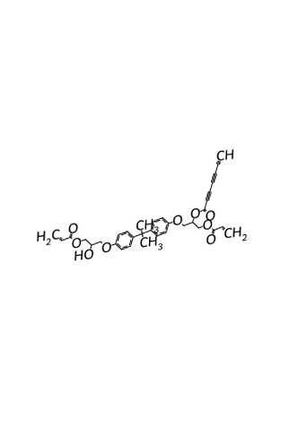 C#CC#CC#CC(=O)OC(COC(=O)C=C)COc1ccc(C(C)(C)c2ccc(OCC(O)COC(=O)C=C)cc2)cc1